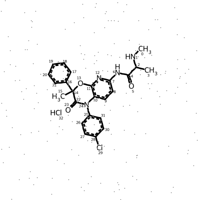 CNC(C)C(=O)Nc1ccc2c(n1)OC(C)(c1ccccc1)C(=O)N2c1ccc(Cl)cc1.Cl